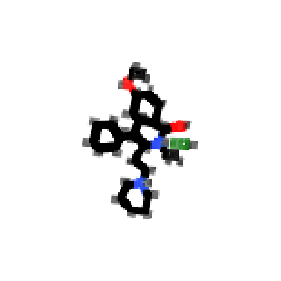 COc1ccc2c(=O)n(C)c(CCN3CCCCC3)c(-c3ccccc3)c2c1.Cl